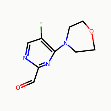 O=Cc1ncc(F)c(N2CCOCC2)n1